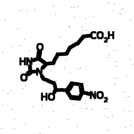 O=C(O)CCCCCCC1C(=O)NC(=O)N1CCC(O)c1ccc([N+](=O)[O-])cc1